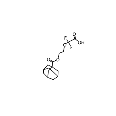 O=C(OCCOC(F)(F)C(=O)O)C12CC3CC(CC(C3)C1)C2